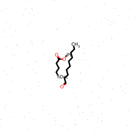 CCCCCCCCCC=O.CCCCCCCCCCCCCC(=O)OC(C)C